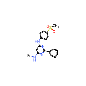 CC(C)Nc1cc(Nc2ccc(S(C)(=O)=O)cc2)nc(-c2ccccc2)n1